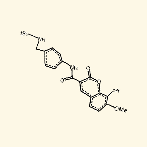 CCCc1c(OC)ccc2cc(C(=O)Nc3ccc(CNC(C)(C)C)cc3)c(=O)oc12